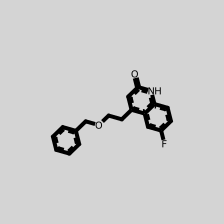 O=c1cc(CCOCc2ccccc2)c2cc(F)ccc2[nH]1